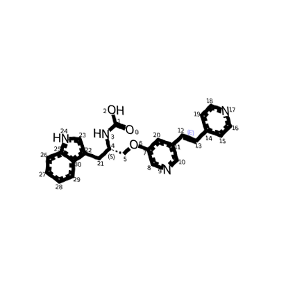 O=C(O)N[C@H](COc1cncc(/C=C/c2ccncc2)c1)Cc1c[nH]c2ccccc12